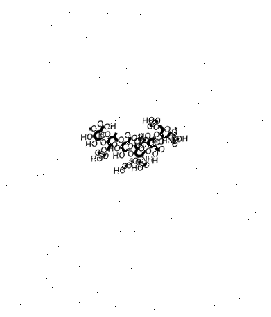 COC1OC(COS(=O)(=O)O)C(OC2OC(C(=O)O)C(OC3OC(COS(=O)(=O)O)C(OC4OC(C(=O)O)C(OC5OC(COS(=O)(=O)O)C(OC6OC(C(=O)O)C(OC)C(O)C6O)C(O)C5C)C(O)C4O)C(OSOOO)C3NS(=O)(=O)O)C(O)C2O)C(O)C1NS(=O)(=O)O